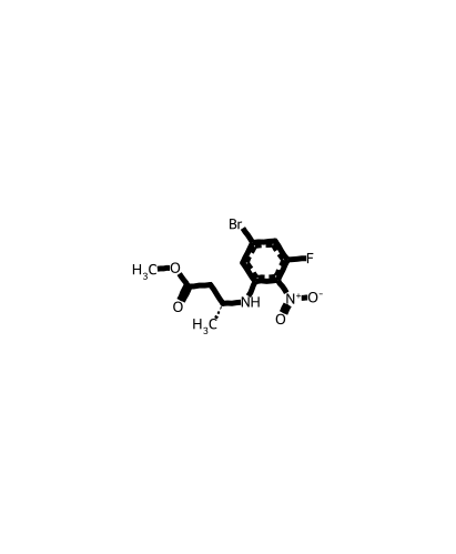 COC(=O)C[C@@H](C)Nc1cc(Br)cc(F)c1[N+](=O)[O-]